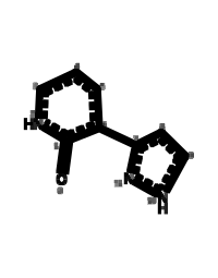 O=c1[nH]cccc1-c1cc[nH]n1